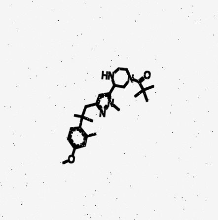 COc1ccc(C(C)(C)Cc2cc(C3CN(C(=O)C(C)(C)C)CCN3)n(C)n2)c(C)c1